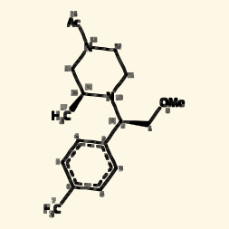 COC[C@@H](c1ccc(C(F)(F)F)cc1)N1CCN(C(C)=O)C[C@@H]1C